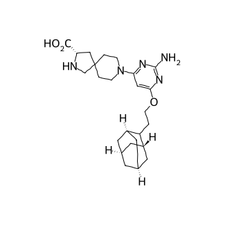 Nc1nc(OCCC2[C@H]3C[C@H]4C[C@H](C3)C[C@H]2C4)cc(N2CCC3(CC2)CN[C@H](C(=O)O)C3)n1